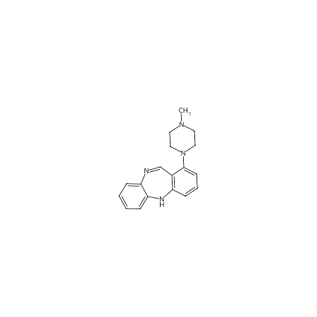 CN1CCN(c2cccc3c2C=Nc2ccccc2N3)CC1